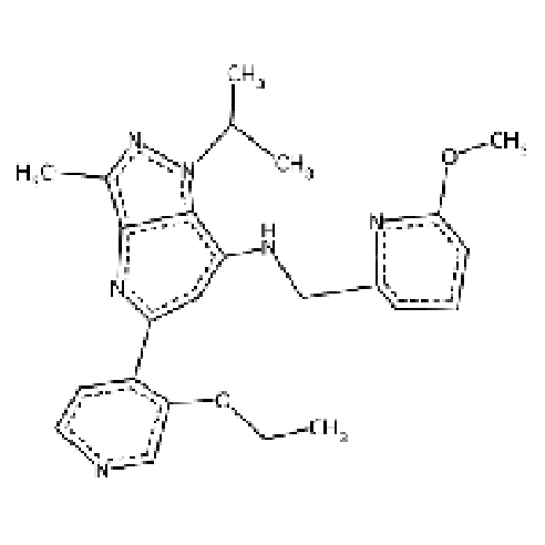 CCOc1cnccc1-c1cc(NCc2cccc(OC)n2)c2c(n1)c(C)nn2C(C)C